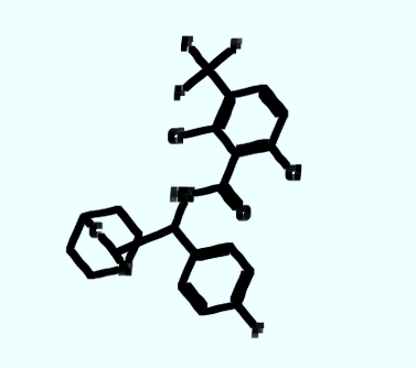 O=C(NC(c1ccc(F)cc1)C1CC2CCN1CC2)c1c(Cl)ccc(C(F)(F)F)c1Cl